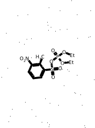 CCOP(=O)(OCC)OS(=O)(=O)c1cccc([N+](=O)[O-])c1C